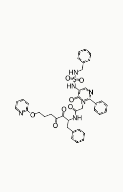 O=C(Cn1c(-c2ccccc2)ncc(NS(=O)(=O)NCc2ccccc2)c1=O)NC(Cc1ccccc1)C(=O)C(=O)CCCOc1ccccn1